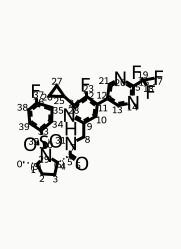 C[C@H]1CC[C@@H](C(=O)NCc2cc(-c3cnc(C(F)(F)F)nc3)c(F)c(C3CC3)n2)N1S(=O)(=O)c1ccc(F)cc1